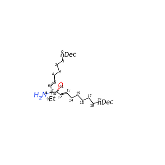 CCCCCCCCCCCCCCC=CC(N)(CC)C(=O)C=CCCCCCCCCCCCCCCC